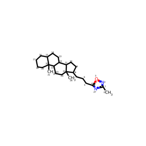 Cc1noc(CCCC2CCC3C4CCC5CCCCC5(C)C4CCC23C)n1